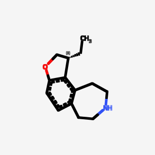 CC[C@H]1COc2ccc3c(c21)CCNCC3